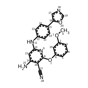 COc1cccc(Oc2nc(Nc3ccc(-c4cnco4)cc3)cc(N)c2C#N)c1